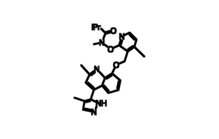 Cc1cc(-c2[nH]ncc2C)c2cccc(OCc3c(C)ccnc3ON(C)C(=O)C(C)C)c2n1